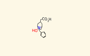 O=C(O)CC1CC2CC(O)C(C1)N2Cc1ccccc1